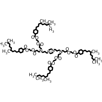 CC(C)CCCC(C)CCCC1CCC(C(=O)OCCOC(=O)CCN(CCCN2CCN(CCCN(CCC(=O)OCCOC(=O)C3CCC(CCCC(C)CCCC(C)C)CC3)CCC(=O)OCCOC(=O)C3CCC(CCCC(C)CCCC(C)C)CC3)CC2)CCC(=O)OCCOC(=O)C2CCC(CCCC(C)CCCC(C)C)CC2)CC1